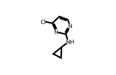 Clc1ccnc(NC2CC2)n1